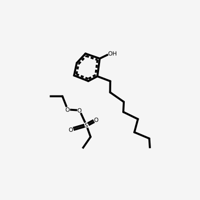 CCCCCCCCc1ccccc1O.CCOOS(=O)(=O)CC